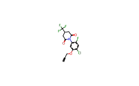 C#CCOc1cc(N2C(=O)CC(C(F)(F)F)CC2=O)c(F)cc1Cl